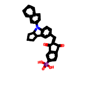 O=C1C(=Cc2ccc3c(c2)C2CCCC2N3c2ccc3ccccc3c2)C(=O)c2cc(P(=O)(O)O)ccc21